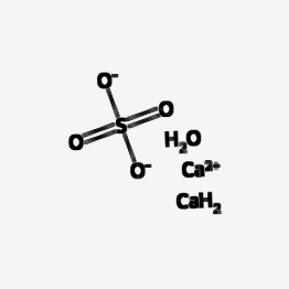 O.O=S(=O)([O-])[O-].[Ca+2].[CaH2]